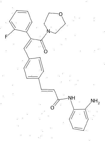 Nc1ccccc1NC(=O)/C=C/c1ccc(C=C(C(=O)N2CCOCC2)c2ccccc2F)cc1